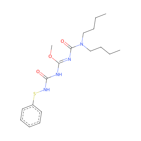 CCCCN(CCCC)C(=O)N=C(NC(=O)NSc1ccccc1)OC